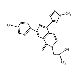 Cc1ccc(-c2cc3c(=O)n(C[C@@H](O)C(F)(F)F)cnc3c(-c3cnn(C)c3)n2)nc1